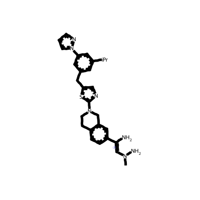 CC(C)c1cc(Cc2cnc(N3CCc4ccc(/C(N)=C/N(C)N)cc4C3)s2)cc(-n2cccn2)c1